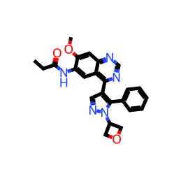 CCC(=O)Nc1cc2c(-c3cnn(C4COC4)c3-c3ccccc3)ncnc2cc1OC